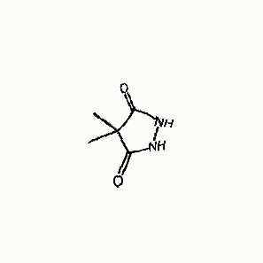 CC1(C)C(=O)NNC1=O